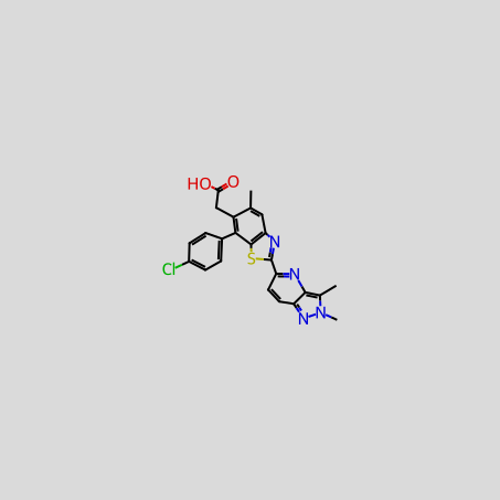 Cc1cc2nc(-c3ccc4nn(C)c(C)c4n3)sc2c(-c2ccc(Cl)cc2)c1CC(=O)O